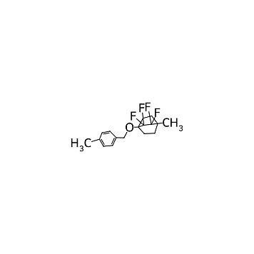 Cc1ccc(COC23CCC(C)(CC2)C(F)(F)C3(F)F)cc1